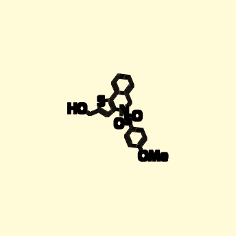 COc1ccc(S(=O)(=O)N2Cc3ccccc3-c3sc(CO)cc32)cc1